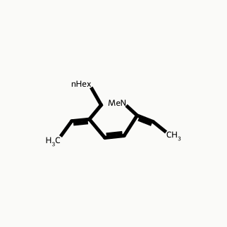 C\C=C(/C=C\C(=C/C)NC)CCCCCCC